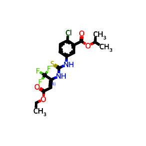 CCOC(=O)/C=C(/NC(=S)Nc1ccc(Cl)c(C(=O)OC(C)C)c1)C(F)(F)F